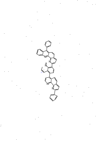 C=Nc1c(-c2ccc3ccc4c(-c5ccccc5)c5ccccc5nc4c3n2)ccc(-c2ccnc3c2ccc2ccc(-c4ccccc4)nc23)c1/C=C\C